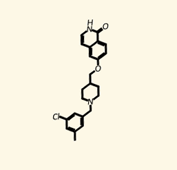 Cc1cc(Cl)cc(CN2CCC(COc3ccc4c(=O)[nH]ccc4c3)CC2)c1